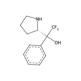 OC(c1ccccc1)([C@@H]1CCCN1)C(F)(F)F